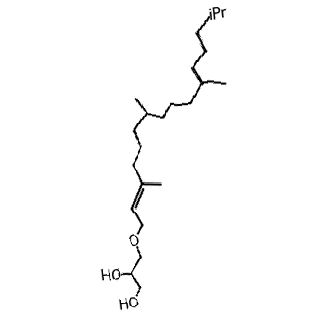 C/C(=C\COCC(O)CO)CCCC(C)CCCC(C)CCCC(C)C